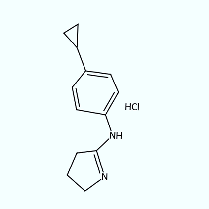 Cl.c1cc(C2CC2)ccc1NC1=NCCC1